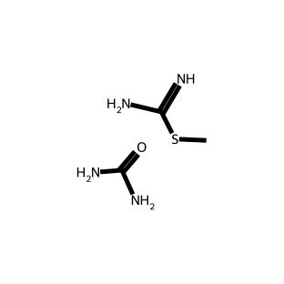 CSC(=N)N.NC(N)=O